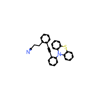 N#CCCc1ccccc1C#Cc1ccccc1N1c2ccccc2Sc2ccccc21